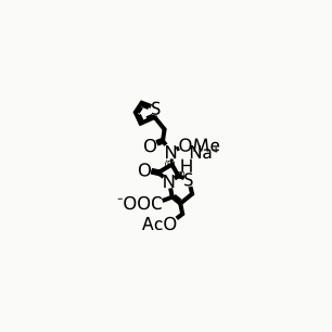 CON(C(=O)Cc1cccs1)[C@@H]1C(=O)N2C(C(=O)[O-])=C(COC(C)=O)CS[C@H]12.[Na+]